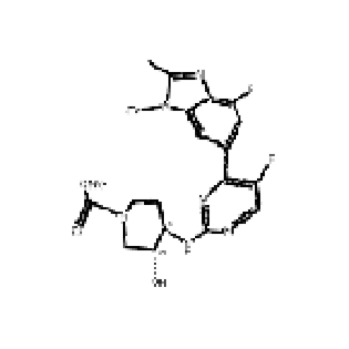 COC(=O)N1CC[C@@H](Nc2ncc(F)c(-c3cc(F)c4nc(C)n(C(C)C)c4c3)n2)[C@H](O)C1